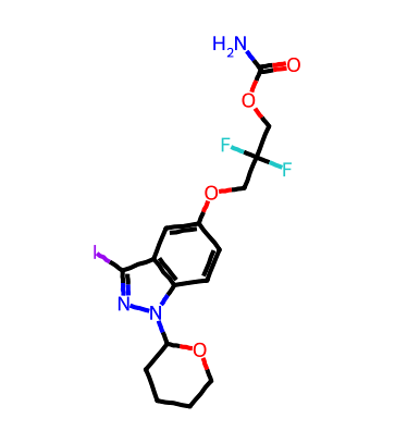 NC(=O)OCC(F)(F)COc1ccc2c(c1)c(I)nn2C1CCCCO1